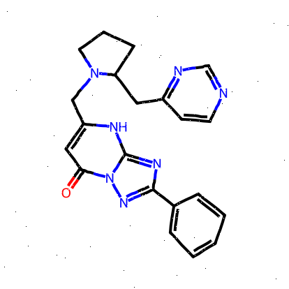 O=c1cc(CN2CCCC2Cc2ccncn2)[nH]c2nc(-c3ccccc3)nn12